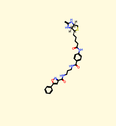 C=C1N[C@H]2[C@H](CS[C@H]2CCCCC(=O)Nc2ccc(C(=O)NCCCNC(=O)c3cc(-c4ccccc4)on3)cc2)N1